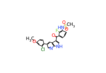 COc1ccc(-c2cnc3[nH]cc(C(=O)c4cccc(NS(C)(=O)=O)c4F)c3c2)c(Cl)c1